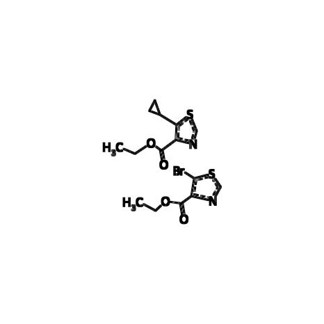 CCOC(=O)c1ncsc1Br.CCOC(=O)c1ncsc1C1CC1